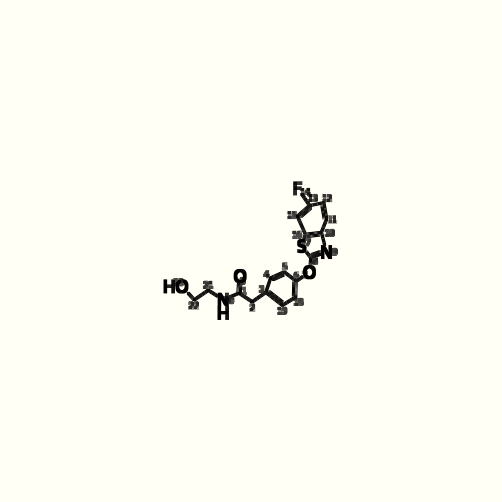 O=C(Cc1ccc(Oc2nc3ccc(F)cc3s2)cc1)NCCO